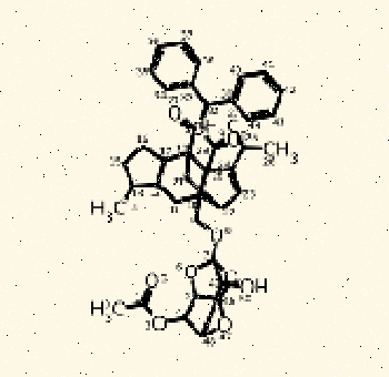 CC(=O)OC1C2OC3(OCC45CC6C(C)CCC6C6(C=O)CC4C=C(C(C)C)C65C(=O)OC(c4ccccc4)c4ccccc4)OC2OC1C3O